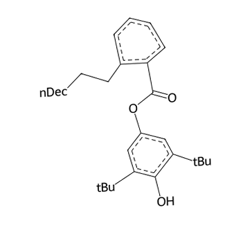 CCCCCCCCCCCCc1ccccc1C(=O)Oc1cc(C(C)(C)C)c(O)c(C(C)(C)C)c1